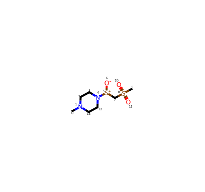 CN1CCN([S+]([O-])CS(C)(=O)=O)CC1